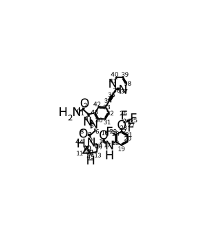 NC(=O)c1nn(CC(=O)N2[C@@H]3C[C@@H]3C[C@H]2C(=O)Nc2cccc(OC(F)(F)F)c2F)c2ccc(C#Cc3ncccn3)cc12